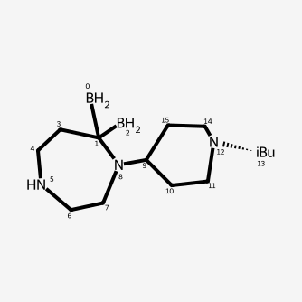 BC1(B)CCNCCN1C1CCN([C@@H](C)CC)CC1